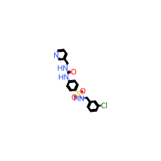 O=C(NCc1cccnc1)Nc1ccc(S(=O)(=O)NCc2cccc(Cl)c2)cc1